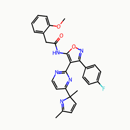 COc1ccccc1CC(=O)Nc1onc(-c2ccc(F)cc2)c1-c1nccc(C2(C)C=CC(C)=N2)n1